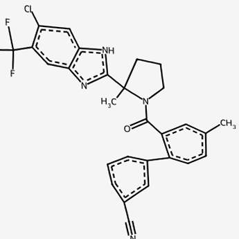 Cc1ccc(-c2cccc(C#N)c2)c(C(=O)N2CCCC2(C)c2nc3cc(C(F)(F)F)c(Cl)cc3[nH]2)c1